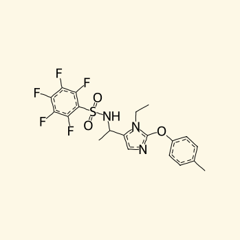 CCn1c(C(C)NS(=O)(=O)c2c(F)c(F)c(F)c(F)c2F)cnc1Oc1ccc(C)cc1